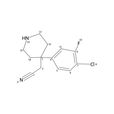 N#CCC1(c2ccc(Cl)c(F)c2)CCNCC1